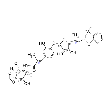 C/C(=C\c1ccc(O[C@@H]2O[C@H](/C(C)=C/COc3ccccc3C(F)(F)F)[C@@H](O)[C@@H]2O)c(O)c1)C(=O)N[C@@H]1[C@H](O)[C@@H](O)[C@H]2OCO[C@H]2[C@@H]1O